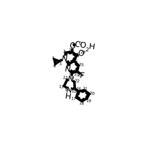 O=C(O)Oc1cn(C2CC2)c2nc(N3CCNC(c4ccccc4)C3)c(F)cc2c1=O